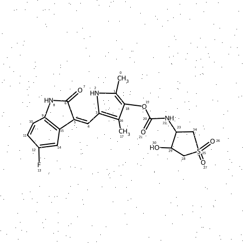 Cc1[nH]c(/C=C2\C(=O)Nc3ccc(F)cc32)c(C)c1OC(=O)NC1CS(=O)(=O)CC1O